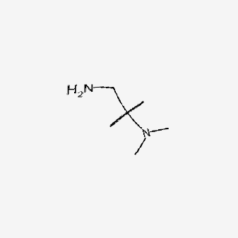 CN(C)C(C)(C)CN